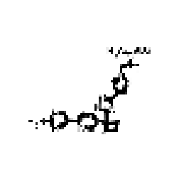 CN(C(=O)Cn1cc(-c2nc(C3(c4ccc(-c5cnc(N)nc5)nc4)CCC3)no2)cn1)C(C)(C)C